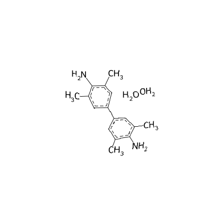 Cc1cc(-c2cc(C)c(N)c(C)c2)cc(C)c1N.O.O